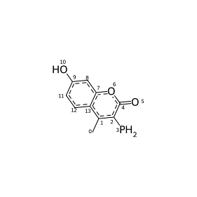 Cc1c(P)c(=O)oc2cc(O)ccc12